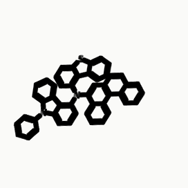 c1ccc(-n2c3ccccc3c3c(N(c4cc5ccc6ccccc6c5c5ccccc45)c4cccc5sc6ccccc6c45)cccc32)cc1